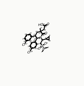 CN(C)S(=O)(=O)CC(C1CC1)N1C(=O)C(C)(CC(=O)O)CC(c2cccc(Cl)c2)C1c1ccc(Cl)cc1